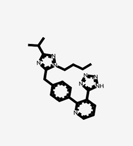 CCCCn1nc(C(C)C)nc1Cc1ccc(-c2ncccc2-c2nnn[nH]2)cc1